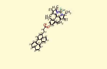 CCC1=C(C)C2=C(c3c(C)cc(OC(=O)CCc4ccc5c6cccc7cccc(c8cccc4c85)c76)cc3C)c3c(C)c(CC)c(C)n3[B-](F)(F)[N+]2=C1C